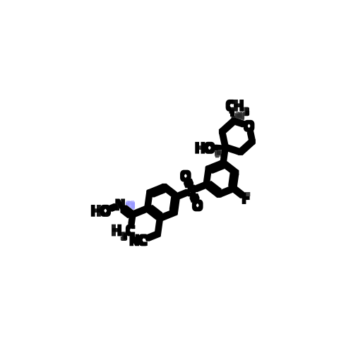 C/C(=N\O)c1ccc(S(=O)(=O)c2cc(F)cc([C@@]3(O)CCO[C@@H](C)C3)c2)cc1CC#N